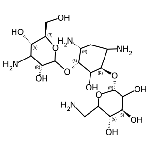 NCC1O[C@H](O[C@@H]2C(N)C[C@@H](N)[C@@H](OC3O[C@H](CO)[C@@H](O)C(N)[C@H]3O)C2O)C(O)[C@@H](O)[C@@H]1O